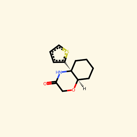 O=C1CO[C@@H]2CCCC[C@]2(c2cccs2)N1